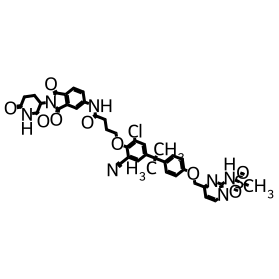 CC(C)(c1ccc(OCc2ccnc(NS(C)(=O)=O)n2)cc1)c1cc(Cl)c(OCCCC(=O)Nc2ccc3c(c2)C(=O)N(C2CCC(=O)NC2=O)C3=O)c(C#N)c1